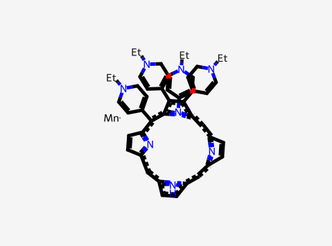 CCN1C=CC(c2c(C3=CCN(CC)C=C3)c3c(C4=CCN(CC)C=C4)c4nc(cc5ccc(cc6nc(cc2n3C2=CCN(CC)C=C2)C=C6)[nH]5)C=C4)=CC1.[Mn]